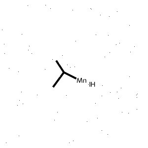 C[CH](C)[Mn].I